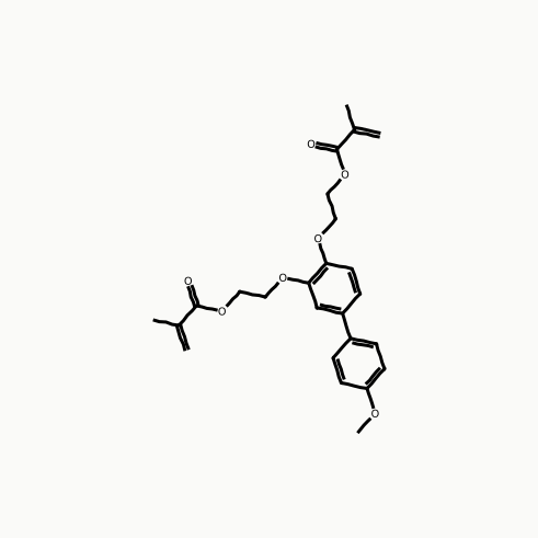 C=C(C)C(=O)OCCOc1ccc(-c2ccc(OC)cc2)cc1OCCOC(=O)C(=C)C